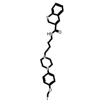 O=C(NCCCCN1CCN(c2ccc(OCI)cc2)CC1)C1=Cc2ccccc2SC1